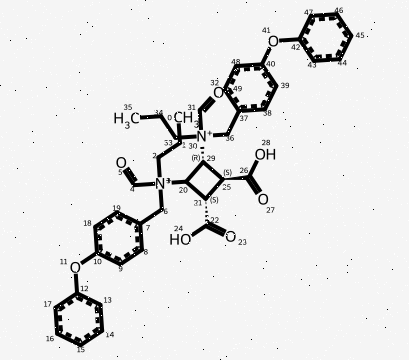 CCC[N+](C=O)(Cc1ccc(Oc2ccccc2)cc1)C1[C@@H](C(=O)O)[C@H](C(=O)O)[C@H]1[N+](C=O)(CCC)Cc1ccc(Oc2ccccc2)cc1